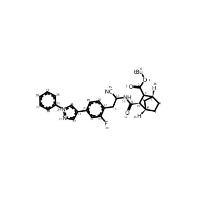 CC(C)(C)OC(=O)C1[C@@H]2CC[C@@H](C2)[C@H]1C(=O)NC(C#N)Cc1ccc(-c2cnn(-c3ccccc3)c2)cc1F